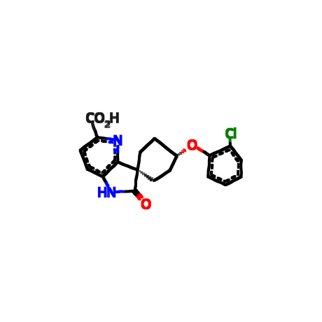 O=C(O)c1ccc2c(n1)[C@]1(CC[C@@H](Oc3ccccc3Cl)CC1)C(=O)N2